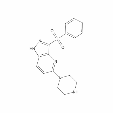 O=S(=O)(c1ccccc1)c1n[nH]c2ccc(N3CCNCC3)nc12